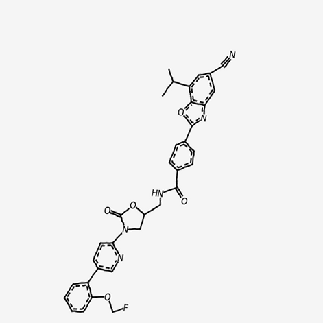 CC(C)c1cc(C#N)cc2nc(-c3ccc(C(=O)NCC4CN(c5ccc(-c6ccccc6OCF)cn5)C(=O)O4)cc3)oc12